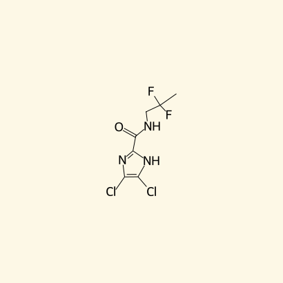 CC(F)(F)CNC(=O)c1nc(Cl)c(Cl)[nH]1